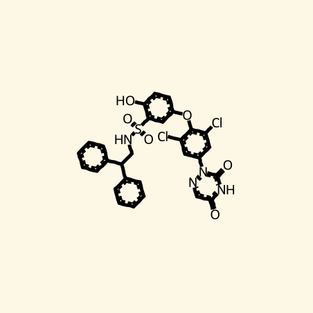 O=c1cnn(-c2cc(Cl)c(Oc3ccc(O)c(S(=O)(=O)NCC(c4ccccc4)c4ccccc4)c3)c(Cl)c2)c(=O)[nH]1